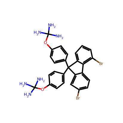 NC(N)(N)Oc1ccc(C2(c3ccc(OC(N)(N)N)cc3)c3cc(Br)ccc3-c3c(Br)cccc32)cc1